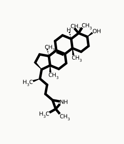 C[C@H](CCC1NC1(C)C)[C@H]1CC[C@@]2(C)C3=C(CC[C@]12C)[C@@]1(C)CC[C@H](O)C(C)(C)[C@@H]1CC3